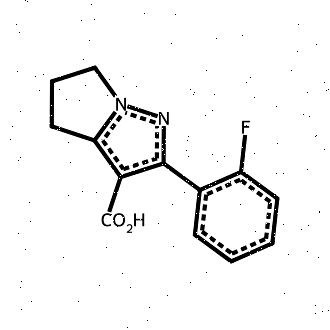 O=C(O)c1c(-c2ccccc2F)nn2c1CCC2